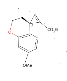 CCOC(=O)C1=C[C@]12CCOc1cc(OC)ccc12